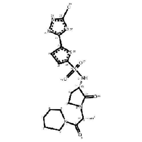 C[C@H](C(=O)N1CCCCC1)N1CC[C@H](NS(=O)(=O)c2ccc(-c3nnc(Cl)s3)s2)C1=O